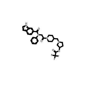 O=C(CN(C(=O)c1ccc2cc[nH]c2c1)c1ccccc1)N1CCC(CN2CCC(OC(=O)C(F)(F)F)C2)CC1